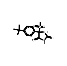 CC(C)(C)c1ccc(C2(S(C)(=O)=O)NC(=O)NC2=O)cc1